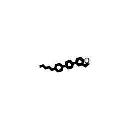 CCCCCC1CCC(c2ccc(-c3ccc4occc4c3)cc2)CC1